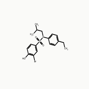 CCc1ccc(N(CC(C)C)S(=O)(=O)c2ccc(O)c(Br)c2)cc1